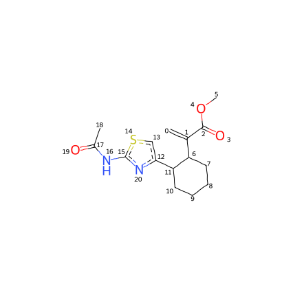 C=C(C(=O)OC)C1CCCCC1c1csc(NC(C)=O)n1